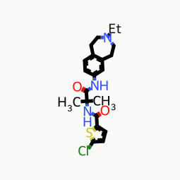 CCN1CCc2ccc(NC(=O)C(C)(C)NC(=O)c3ccc(Cl)s3)cc2CC1